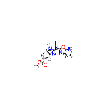 CCOC(=O)c1ccc2c(c1)nc(Nc1nc3cccnc3o1)n2C